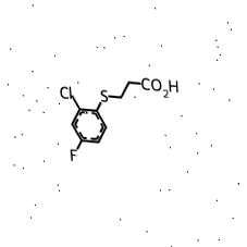 O=C(O)CCSc1ccc(F)cc1Cl